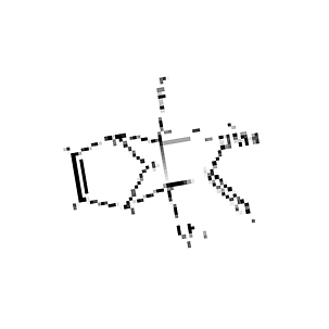 COC(=O)C1(C(F)(F)F)C2C=CC(C2)C1(F)F